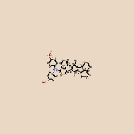 COc1ccc(N(c2ccc(OC)cc2)c2ccc3c4c(C)c5c6cccc7cccc(c5c(C)c4c4cccc2c43)c76)cc1